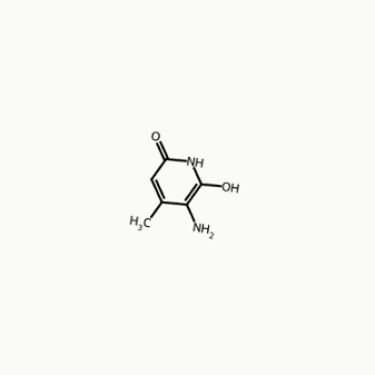 Cc1cc(=O)[nH]c(O)c1N